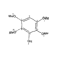 COc1cc(OC)c(OC)c(O)c1OC